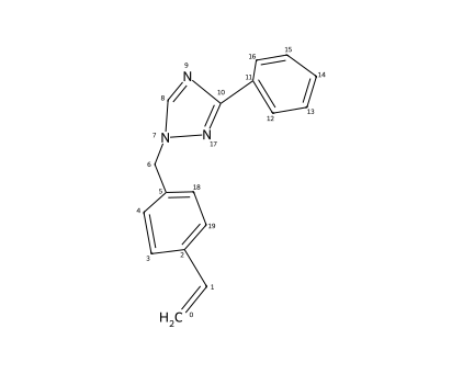 C=Cc1ccc(Cn2cnc(-c3ccccc3)n2)cc1